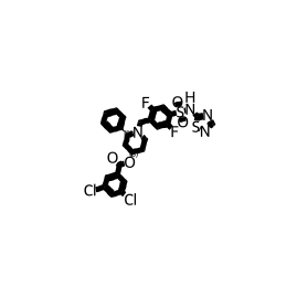 O=C(O[C@H]1CCN(Cc2cc(F)c(S(=O)(=O)Nc3ncns3)cc2F)[C@@H](c2ccccc2)C1)c1cc(Cl)cc(Cl)c1